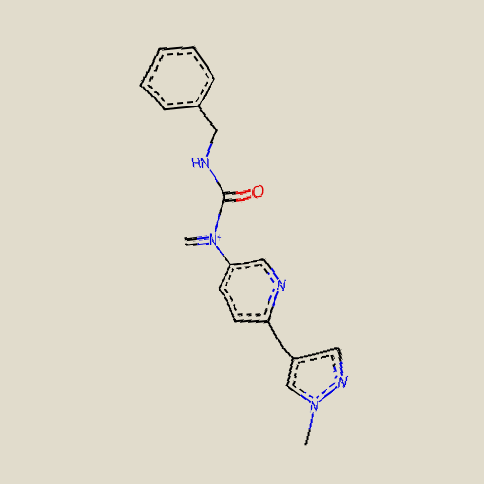 C=[N+](C(=O)NCc1ccccc1)c1ccc(-c2cnn(C)c2)nc1